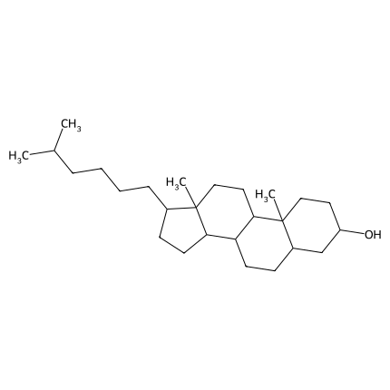 CC(C)CCCCC1CCC2C3CCC4CC(O)CCC4(C)C3CCC12C